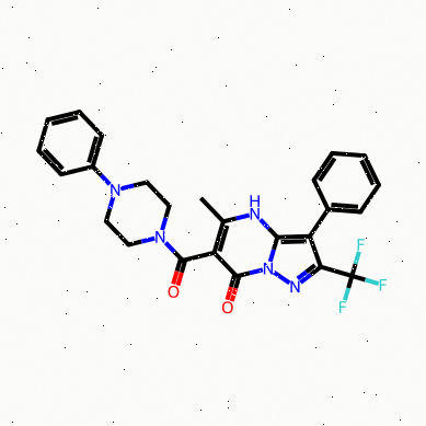 Cc1[nH]c2c(-c3ccccc3)c(C(F)(F)F)nn2c(=O)c1C(=O)N1CCN(c2ccccc2)CC1